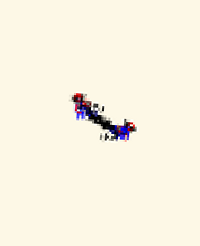 CC1CN(C(=O)C(=O)N[C@H](c2nc(-c3ccc(-c4ccc(-c5c[nH]c([C@@H](NC(=O)C(=O)N6CC(C)OC(C)C6)C(C)(C)C)n5)cc4)cc3)c[nH]2)C(C)(C)C)CC(C)O1